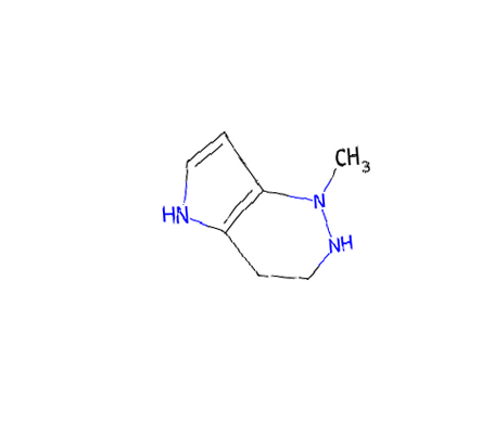 CN1NCCc2[nH]ccc21